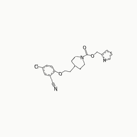 N#Cc1cc(Cl)ccc1OCCC1CCN(C(=O)OCc2cscn2)CC1